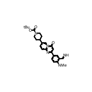 CNc1ccc(-c2cc(=O)n3cc(C4CCN(C(=O)OC(C)(C)C)CC4)ccc3n2)cc1C=N